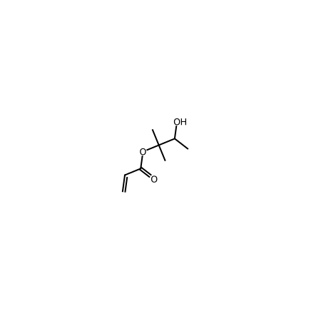 C=CC(=O)OC(C)(C)C(C)O